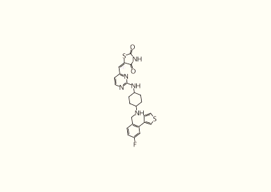 O=C1NC(=O)/C(=C\c2ccnc(NC3CCC(NCc4ccc(F)cc4-c4ccsc4)CC3)n2)S1